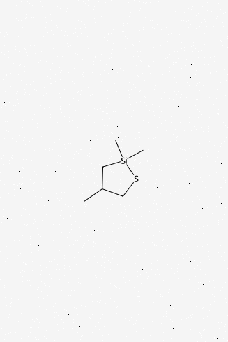 CC1CS[Si](C)(C)C1